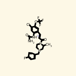 CC1CN(Cc2ccc(F)cc2)CCN1C(=O)/C=C/c1cc(OC(F)(F)F)c(Cl)cc1NC(N)=O